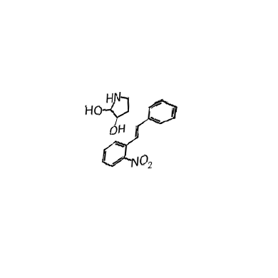 O=[N+]([O-])c1ccccc1C=Cc1ccccc1.OC1CCNC1O